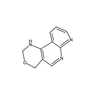 c1cnc2ncc3c(c2c1)NCOC3